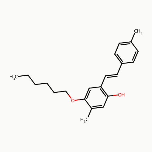 CCCCCCOc1cc(/C=C/c2ccc(C)cc2)c(O)cc1C